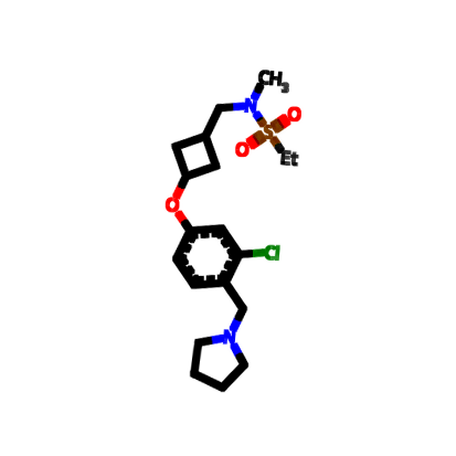 CCS(=O)(=O)N(C)CC1CC(Oc2ccc(CN3CCCC3)c(Cl)c2)C1